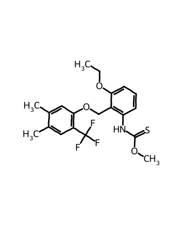 CCOc1cccc(NC(=S)OC)c1COc1cc(C)c(C)cc1C(F)(F)F